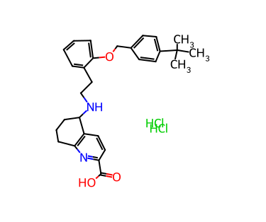 CC(C)(C)c1ccc(COc2ccccc2CCNC2CCCc3nc(C(=O)O)ccc32)cc1.Cl.Cl